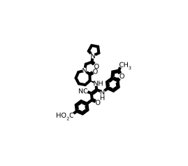 Cc1cc2cc(N/C(N[C@H]3CCCCN(CC(=O)N4CCCC4)C3=O)=C(/C#N)C(=O)c3ccc(C(=O)O)cc3)ccc2o1